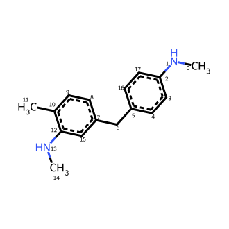 CNc1ccc(Cc2ccc(C)c(NC)c2)cc1